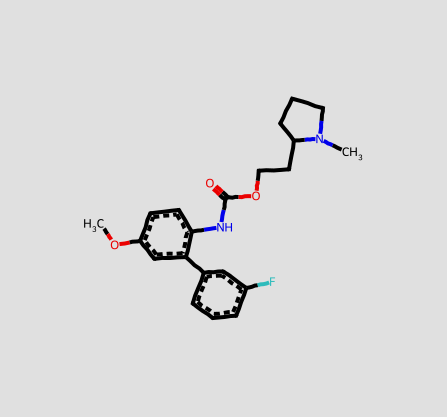 COc1ccc(NC(=O)OCCC2CCCN2C)c(-c2cccc(F)c2)c1